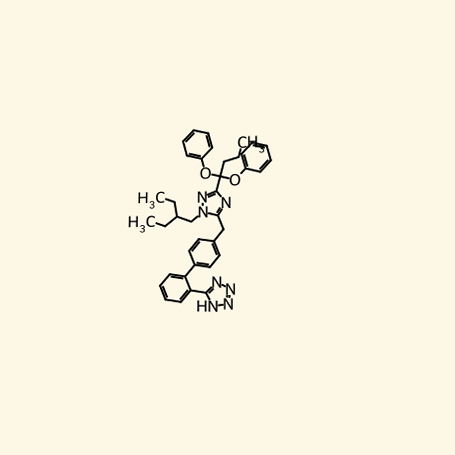 CCCC(Oc1ccccc1)(Oc1ccccc1)c1nc(Cc2ccc(-c3ccccc3-c3nnn[nH]3)cc2)n(CC(CC)CC)n1